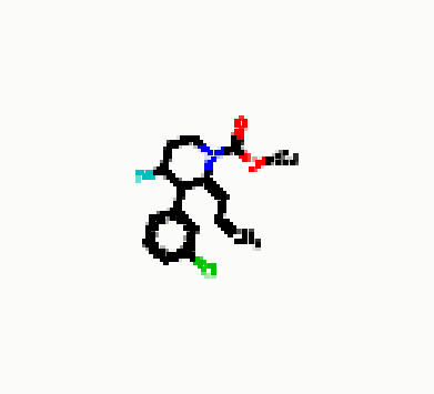 C=CC=C1C(c2cccc(Cl)c2)C(F)CCN1C(=O)OC(C)(C)C